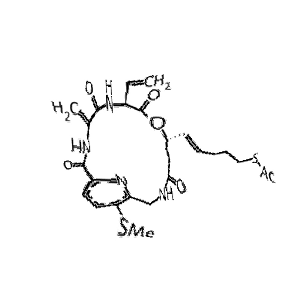 C=C[C@@H]1NC(=O)C(=C)NC(=O)c2ccc(SC)c(n2)CNC(=O)C[C@@H](/C=C/CCSC(C)=O)OC1=O